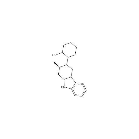 C[C@@H]1CC2Nc3ccccc3C2CC1C1CCCCC1S